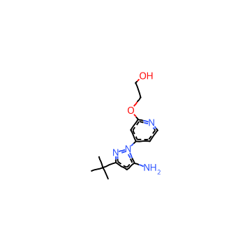 CC(C)(C)c1cc(N)n(-c2ccnc(OCCO)c2)n1